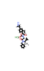 C[C@@H](C1CC1)N(Cc1ccccc1)C(=O)CN1C(=O)O[C@@]2(CCc3cc(C4CNC4)ccc32)C1=O.Cl